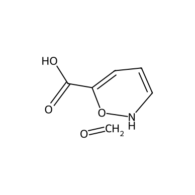 C=O.O=C(O)C1=CC=CNO1